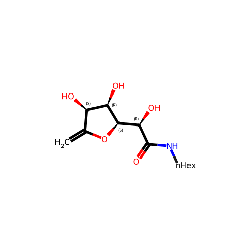 C=C1O[C@H]([C@@H](O)C(=O)NCCCCCC)[C@H](O)[C@@H]1O